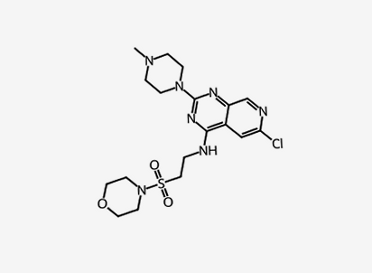 CN1CCN(c2nc(NCCS(=O)(=O)N3CCOCC3)c3cc(Cl)ncc3n2)CC1